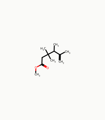 C=C(C)C(C)C(C)(C)CC(=O)OC